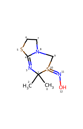 CC1(C)N=C2SCCN2C/S1=N/O